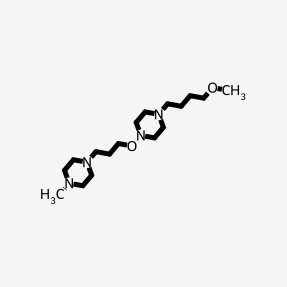 COCCCCN1CCN(OCCCN2CCN(C)CC2)CC1